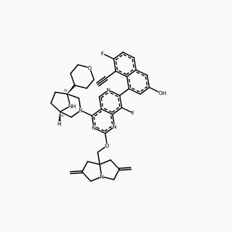 C#Cc1c(F)ccc2cc(O)cc(-c3ncc4c(N5C[C@@H]6CC[C@](C7CCOCC7)(C5)N6)nc(OCC56CC(=C)CN5CC(=C)C6)nc4c3F)c12